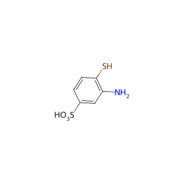 Nc1cc(S(=O)(=O)O)ccc1S